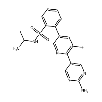 CC(NS(=O)(=O)c1ccccc1-c1cnc(-c2cnc(N)nc2)c(F)c1)C(F)(F)F